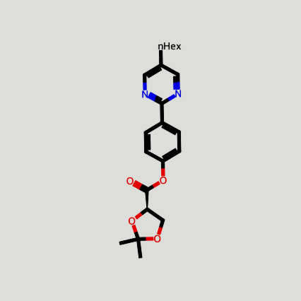 CCCCCCc1cnc(-c2ccc(OC(=O)[C@H]3COC(C)(C)O3)cc2)nc1